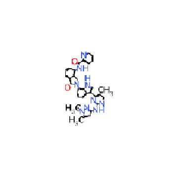 Cc1cnc(Nc2cc(C)n(C)n2)nc1-c1c[nH]c2c(N3Cc4c(NC(=O)c5ccccn5)cccc4C3=O)cccc12